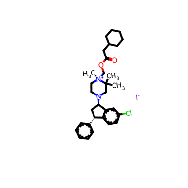 CC1(C)CN([C@@H]2C[C@@H](c3ccccc3)c3ccc(Cl)cc32)CC[N@+]1(C)COC(=O)CC1CCCCC1.[I-]